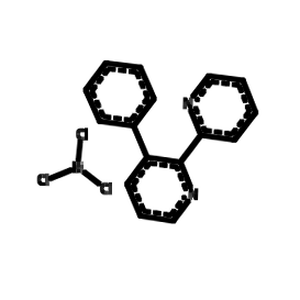 [Cl][Bi]([Cl])[Cl].c1ccc(-c2cccnc2-c2ccccn2)cc1